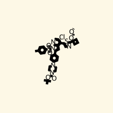 COCOC1(c2ncc(-c3c(Cl)cnc4c3cc(-c3ccc(N5CCN(C(=O)OC(C)(C)C)CC5)cc3)n4S(=O)(=O)c3ccc(C)cc3)s2)CCC1